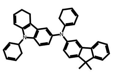 CC1(C)c2ccccc2-c2cc(N(C3=CC=CCC3)c3ccc4c(c3)c3c(n4C4C=CC=CC4)C=CCC3)ccc21